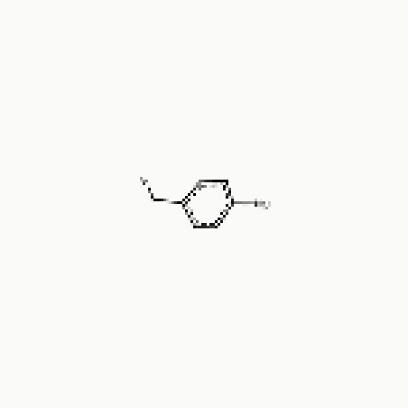 O=Nc1ccc(CBr)cc1